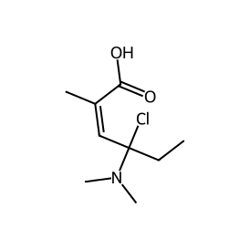 CCC(Cl)(C=C(C)C(=O)O)N(C)C